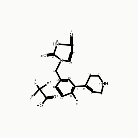 O=C(O)C(F)(F)F.O=c1ccn(Cc2ccc(F)c(C3=CCNCC3)c2)c(=O)[nH]1